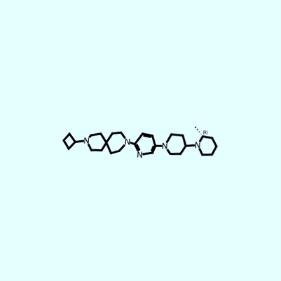 C[C@@H]1CCCCN1C1CCN(c2ccc(N3CCC4(CC3)CCN(C3CCC3)CC4)nc2)CC1